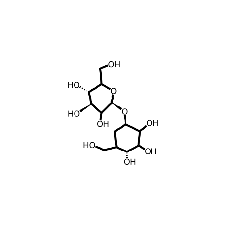 OCC1C[C@@H](O[C@@H]2OC(CO)[C@@H](O)[C@H](O)C2O)C(O)C(O)[C@@H]1O